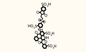 O=C(c1cccc(S(=O)(=O)O)c1)c1c2c3c(c(Nc4ccc(S(=O)(=O)CCC5C(=O)c6ccc(S(=O)(=O)O)cc6C5=O)cc4S(=O)(=O)O)cc(S(=O)(=O)O)c3[nH]c1=O)C(=O)c1ccccc1-2